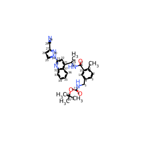 Cc1ccc(CNC(=O)OC(C)(C)C)cc1C(=O)NC(C)c1cc(-n2ccc(C#N)n2)nc2ccccc12